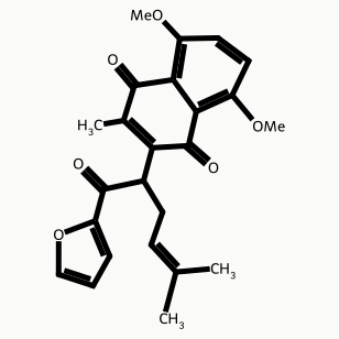 COc1ccc(OC)c2c1C(=O)C(C)=C(C(CC=C(C)C)C(=O)c1ccco1)C2=O